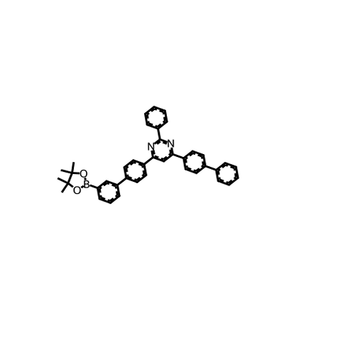 CC1(C)OB(c2cccc(-c3ccc(-c4cc(-c5ccc(-c6ccccc6)cc5)nc(-c5ccccc5)n4)cc3)c2)OC1(C)C